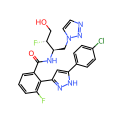 O=C(N[C@H](Cn1ccnn1)[C@H](F)CO)c1cccc(F)c1-c1cc(-c2ccc(Cl)cc2)[nH]n1